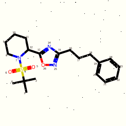 CC(C)(C)S(=O)(=O)N1CCCCC1c1nc(CCCc2ccccc2)no1